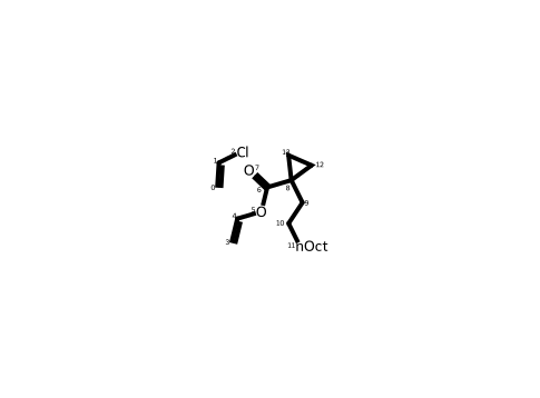 C=CCl.C=COC(=O)C1(CCCCCCCCCC)CC1